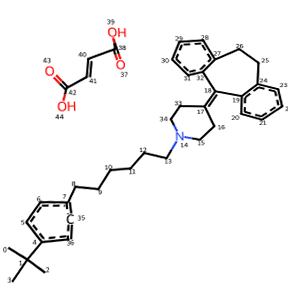 CC(C)(C)c1ccc(CCCCCCN2CCC(=C3c4ccccc4CCc4ccccc43)CC2)cc1.O=C(O)C=CC(=O)O